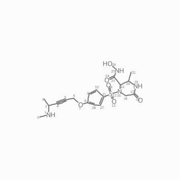 CNC(C)C#CCOc1ccc(S(=O)(=O)N2CC(=O)NC(C)C2C(=O)NO)cc1